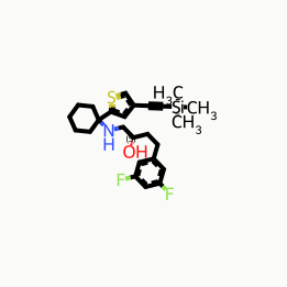 C[Si](C)(C)C#Cc1csc(C2(NC[C@@H](O)CCc3cc(F)cc(F)c3)CCCCC2)c1